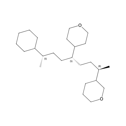 C[C@H](CC[C@H](CC[C@H](C)C1CCCCC1)C1CCOCC1)C1CCCOC1